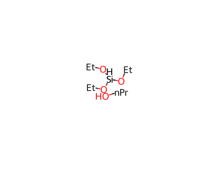 CCCO.CCO[SiH](OCC)OCC